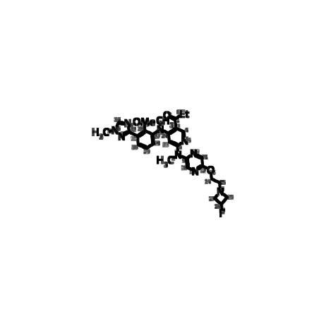 CCC(=O)c1cnc(N(C)c2cnc(OCCN3CC(F)C3)cn2)cc1N(C)c1cccc(-c2ncn(C)n2)c1OC